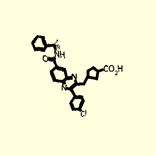 C[C@H](NC(=O)c1ccc2nc(-c3ccc(Cl)cc3)c(CC3CCC(C(=O)O)C3)nc2c1)c1ccccc1